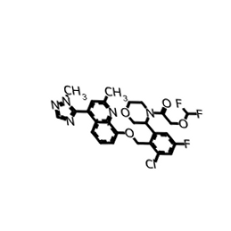 Cc1cc(-c2ncnn2C)c2cccc(OCc3c(Cl)cc(F)cc3C3COCCN3C(=O)COC(F)F)c2n1